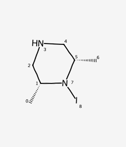 C[C@@H]1CNC[C@H](C)N1I